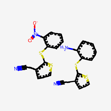 N#Cc1ccsc1Sc1ccccc1N.N#Cc1ccsc1Sc1ccccc1[N+](=O)[O-]